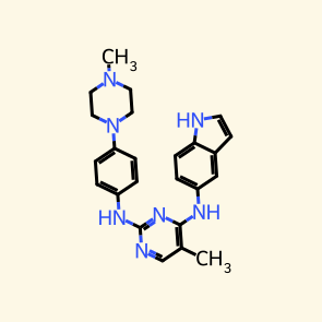 Cc1cnc(Nc2ccc(N3CCN(C)CC3)cc2)nc1Nc1ccc2[nH]ccc2c1